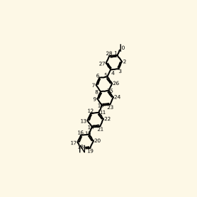 Ic1ccc(-c2ccc3cc(-c4ccc(-c5ccncc5)cc4)ccc3c2)cc1